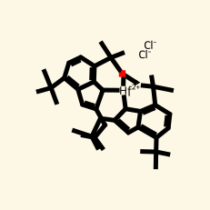 CC(C)CC1=Cc2c(C(C)(C)C)ccc(C(C)(C)C)c2[CH]1[Hf+2]1([CH]2C(CC(C)C)=Cc3c(C(C)(C)C)ccc(C(C)(C)C)c32)[CH2][CH2]1.[Cl-].[Cl-]